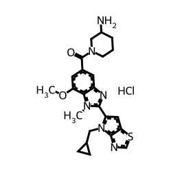 COc1cc(C(=O)N2CCCC(N)C2)cc2nc(-c3cc4scnc4n3CC3CC3)n(C)c12.Cl